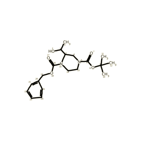 CC(O)C1CN(C(=O)OC(C)(C)C)CCN1C(=O)OCc1ccccc1